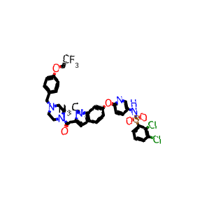 Cn1c(C(=O)N2CCN(Cc3ccc(OCC(F)(F)F)cc3)CC2)cc2ccc(Oc3ccc(NS(=O)(=O)c4cccc(Cl)c4Cl)cn3)cc21